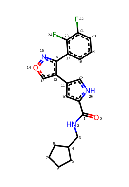 O=C(NCC1CCCC1)c1cc(-c2conc2-c2cccc(F)c2F)c[nH]1